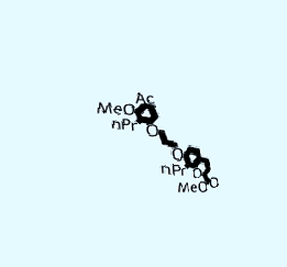 CCCc1c(OCCCOc2ccc(C(C)=O)c(OC)c2CCC)ccc2c1OC(C(=O)OC)CC2